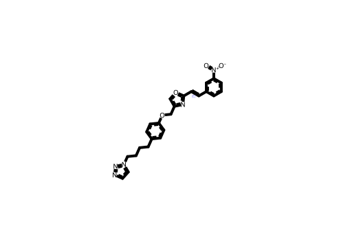 O=[N+]([O-])c1cccc(/C=C/c2nc(COc3ccc(CCCCn4ccnn4)cc3)co2)c1